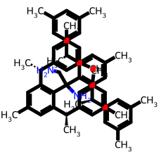 Cc1cc(C)cc([C@@H](C)c2cc(C)cc([C@H](C)c3cc(C)cc(C)c3)c2C(N)(CN)c2c([C@H](C)c3cc(C)cc(C)c3)cc(C)cc2[C@H](C)c2cc(C)cc(C)c2)c1